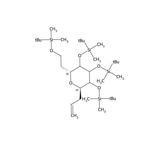 C=CC[C@H]1O[C@H](CCO[Si](C)(C)C(C)(C)C)C(O[Si](C)(C)C(C)(C)C)C(O[Si](C)(C)C(C)(C)C)C1O[Si](C)(C)C(C)(C)C